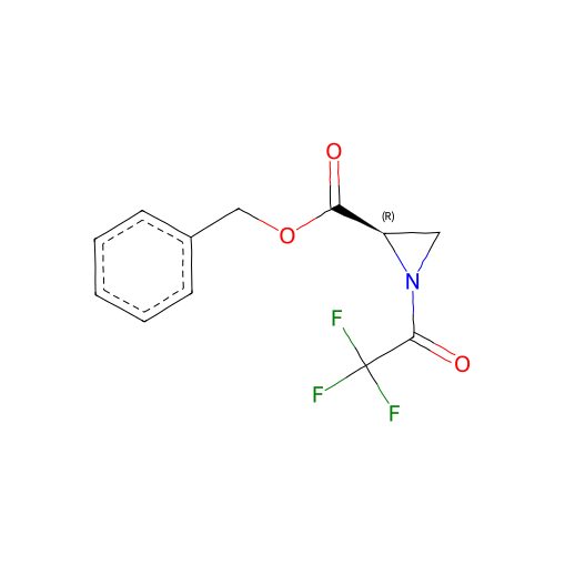 O=C(OCc1ccccc1)[C@H]1CN1C(=O)C(F)(F)F